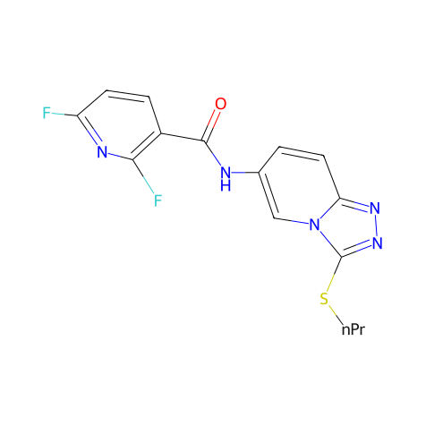 CCCSc1nnc2ccc(NC(=O)c3ccc(F)nc3F)cn12